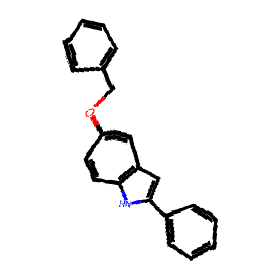 c1ccc(COc2ccc3[nH]c(-c4ccccc4)cc3c2)cc1